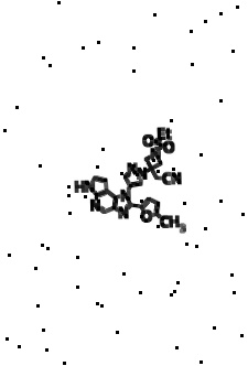 CCS(=O)(=O)N1CC(CC#N)(n2cc(-n3c(-c4ccc(C)o4)nc4cnc5[nH]ccc5c43)cn2)C1